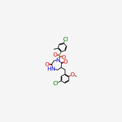 COc1ccc(Cl)cc1CC1CNC(=O)CN(S(=O)(=O)c2ccc(Cl)cc2C)C1=O